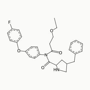 CCOCCC(=O)N(C(=O)C1CC(Cc2ccccc2)CN1)c1ccc(Oc2ccc(F)cc2)cc1